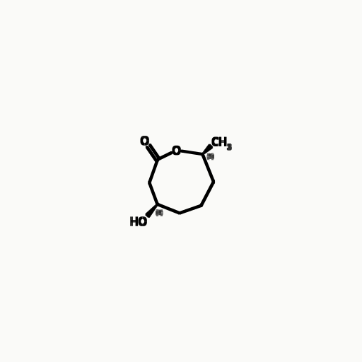 C[C@H]1CCC[C@@H](O)CC(=O)O1